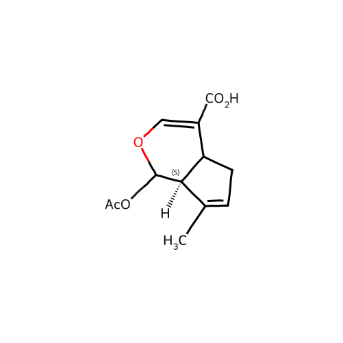 CC(=O)OC1OC=C(C(=O)O)C2CC=C(C)[C@@H]12